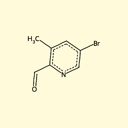 Cc1cc(Br)cnc1C=O